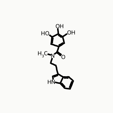 CN(CCc1c[nH]c2ccccc12)C(=O)c1cc(O)c(O)c(O)c1